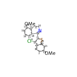 COc1ccc2c(Cl)c(C3=NCCc4c(OC)cccc43)sc2c1